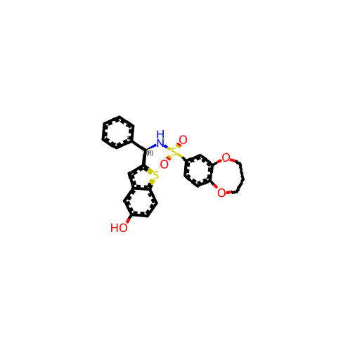 O=S(=O)(N[C@H](c1ccccc1)c1cc2cc(O)ccc2s1)c1ccc2c(c1)OCCCO2